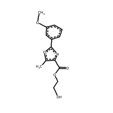 COc1cccc(-c2nc(C(=O)OCCO)c(C)o2)c1